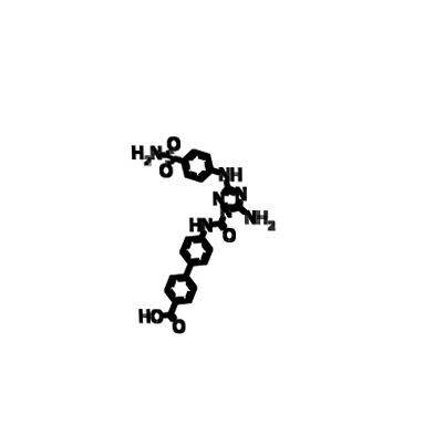 Nc1nc(Nc2ccc(S(N)(=O)=O)cc2)nn1C(=O)Nc1ccc(-c2ccc(C(=O)O)cc2)cc1